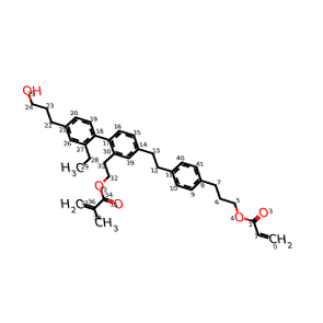 C=CC(=O)OCCCc1ccc(CCc2ccc(-c3ccc(CCCO)cc3CC)c(CCOC(=O)C(=C)C)c2)cc1